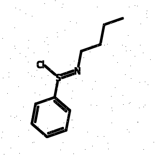 CCCCN=S(Cl)c1ccccc1